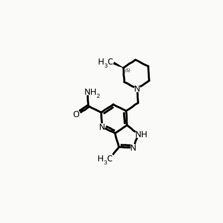 Cc1n[nH]c2c(CN3CCC[C@H](C)C3)cc(C(N)=O)nc12